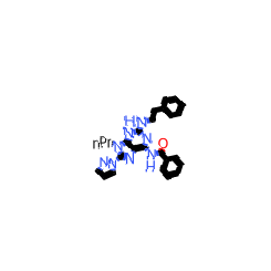 CCCn1c(-n2cccn2)nc2c(NC(=O)c3ccccc3)nc(NCCc3ccccc3)nc21